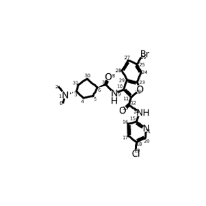 CN(C)[C@H]1CC[C@H](C(=O)Nc2c(C(=O)Nc3ccc(Cl)cn3)oc3cc(Br)ccc23)CC1